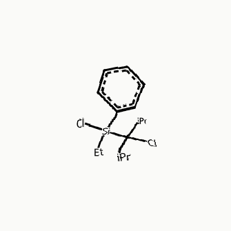 CC[Si](Cl)(c1ccccc1)C(Cl)(C(C)C)C(C)C